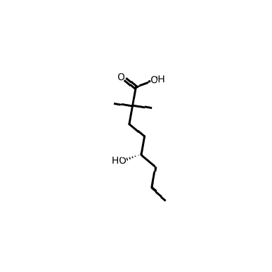 CCC[C@H](O)CCC(C)(C)C(=O)O